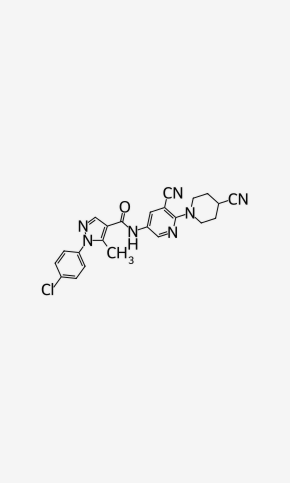 Cc1c(C(=O)Nc2cnc(N3CCC(C#N)CC3)c(C#N)c2)cnn1-c1ccc(Cl)cc1